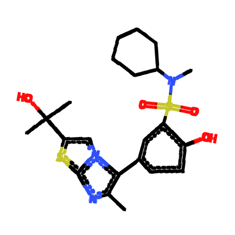 Cc1nc2sc(C(C)(C)O)cn2c1-c1ccc(O)c(S(=O)(=O)N(C)C2CCCCC2)c1